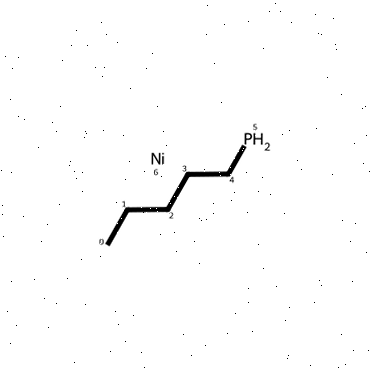 CCCCCP.[Ni]